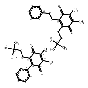 CC1=C(C)C(=O)C(CCC(C)(C)O)=C(CCc2ccccc2)C1=O.CC1=C(C)C(=O)C(c2ccccc2)=C(CCC(C)(C)O)C1=O